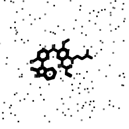 C=CC(=O)Nc1cc(Nc2ncc(Cl)c(-n3c(=O)[nH]c4ccccc43)n2)c(OC)cc1N(C)CCN(C)C